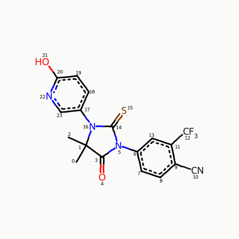 CC1(C)C(=O)N(c2ccc(C#N)c(C(F)(F)F)c2)C(=S)N1c1ccc(O)nc1